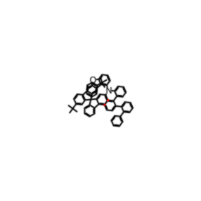 CC(C)(C)c1ccc2c(c1)C1(c3ccccc3-c3ccc(N(c4ccccc4-c4ccccc4-c4ccccc4-c4ccccc4)c4cccc5oc6ccccc6c45)cc31)c1cc(C(C)(C)C)ccc1-2